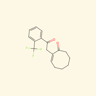 O=C1CCCCCC=C1CC(=O)c1ccccc1C(F)(F)F